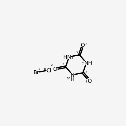 ClBr.O=c1[nH]c(=O)[nH]c(=O)[nH]1